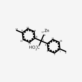 Cc1ccc(C(C)(C(=O)O)c2ccc(C)cc2)cc1.[Zn]